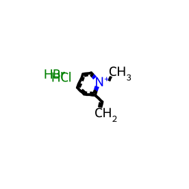 Br.C=Cc1cccc[n+]1CC.Cl